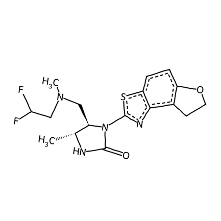 C[C@H]1NC(=O)N(c2nc3c4c(ccc3s2)OCC4)[C@@H]1CN(C)CC(F)F